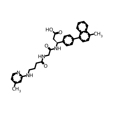 Cc1ccnc(NCCCC(=O)NCC(=O)N[C@@H](CC(=O)O)c2ccc(-c3ccc(C)c4ccccc34)cc2)c1